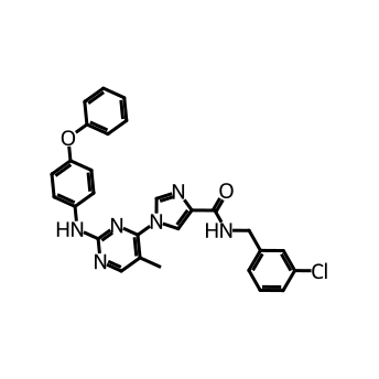 Cc1cnc(Nc2ccc(Oc3ccccc3)cc2)nc1-n1cnc(C(=O)NCc2cccc(Cl)c2)c1